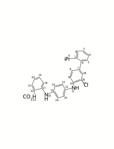 CC(C)c1ccccc1-c1ccc(Nc2ccc(Nc3ccccc3C(=O)O)cc2)c(Cl)c1